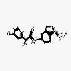 O=C(Nc1ccc2c(cnn2C(=O)O)c1)C(O)c1cccc(Cl)c1